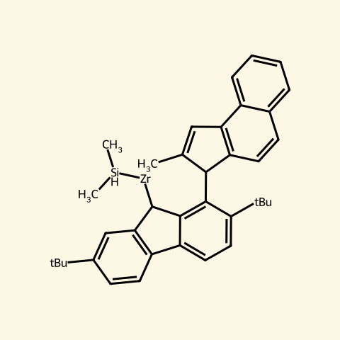 CC1=Cc2c(ccc3ccccc23)C1c1c(C(C)(C)C)ccc2c1[CH]([Zr][SiH](C)C)c1cc(C(C)(C)C)ccc1-2